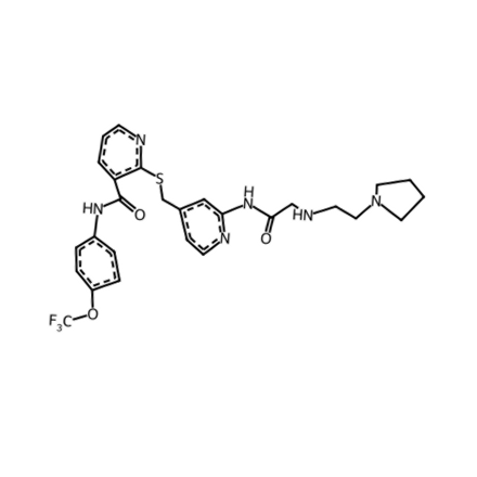 O=C(CNCCN1CCCC1)Nc1cc(CSc2ncccc2C(=O)Nc2ccc(OC(F)(F)F)cc2)ccn1